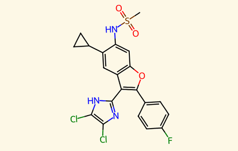 CS(=O)(=O)Nc1cc2oc(-c3ccc(F)cc3)c(-c3nc(Cl)c(Cl)[nH]3)c2cc1C1CC1